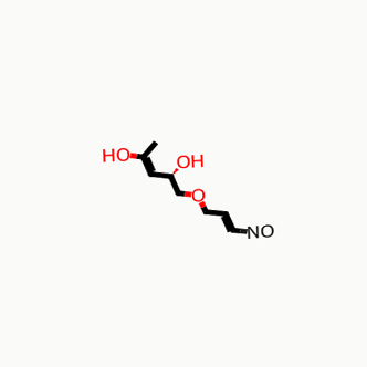 C/C(O)=C\[C@H](O)COCC=CN=O